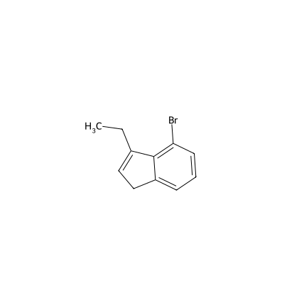 CCC1=CCc2cccc(Br)c21